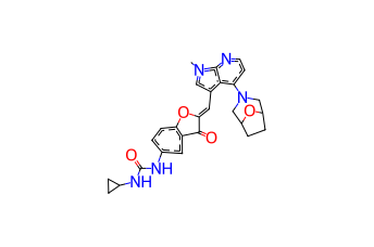 Cn1cc(C=C2Oc3ccc(NC(=O)NC4CC4)cc3C2=O)c2c(N3CC4CCC(C3)O4)ccnc21